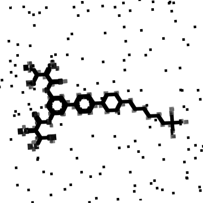 C=C(C(=O)Oc1cc(OC(=O)C(=C)C(C)O)cc(-c2ccc(C3CCC(CCCCCCC(F)(F)F)CC3)cc2)c1)C(C)O